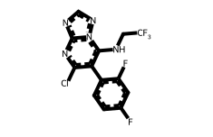 Fc1ccc(-c2c(Cl)nc3ncnn3c2NCC(F)(F)F)c(F)c1